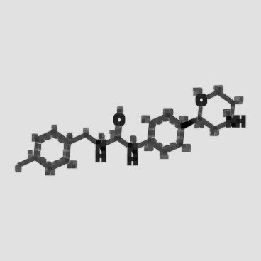 Cc1ccc(CNC(=O)Nc2ccc([C@@H]3CNCCO3)cc2)cc1